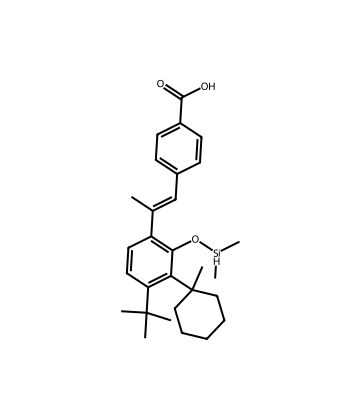 C/C(=C\c1ccc(C(=O)O)cc1)c1ccc(C(C)(C)C)c(C2(C)CCCCC2)c1O[SiH](C)C